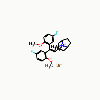 COc1ccc(F)cc1C(=CC1CC2CCC(C1)[N+]2(C)C)c1cc(F)ccc1OC.[Br-]